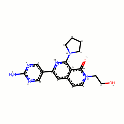 Nc1ncc(-c2cc3ccn(CCO)c(=O)c3c(N3CCCC3)n2)cn1